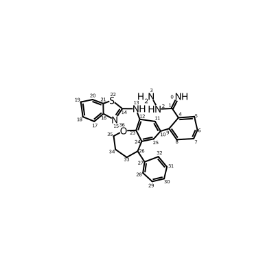 N=C(NN)c1ccccc1-c1cc(Nc2nc3ccccc3s2)c2c(c1)C(c1ccccc1)CCCO2